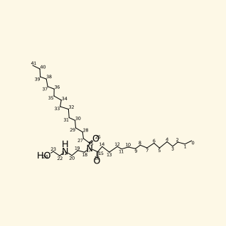 CCCCCCCCCCCCCCCC(=O)N(CCCNCCO)C(=O)CCCCCCCCCCCCCCC